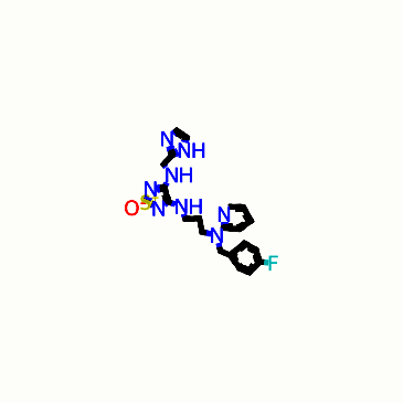 [O-][s+]1nc(NCCCN(Cc2ccc(F)cc2)c2ccccn2)c(NCc2ncc[nH]2)n1